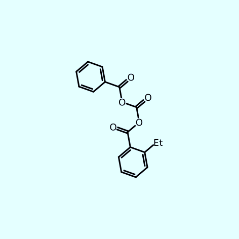 CCc1ccccc1C(=O)OC(=O)OC(=O)c1ccccc1